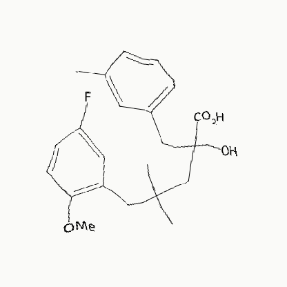 COc1ccc(F)cc1CC(C)(C)CC(O)(Cc1cccc(C)c1)C(=O)O